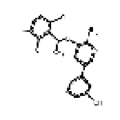 CC(Oc1cc(-c2cccc(O)c2)cnc1N)c1c(Cl)ccc(F)c1Cl